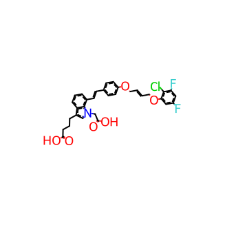 O=C(O)CCCc1cn(CC(=O)O)c2c(/C=C/c3ccc(OC/C=C/COc4cc(F)cc(F)c4Cl)cc3)cccc12